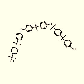 CC(C)(O)c1ccc(C(C)(C)c2ccc(Oc3ccc(S(=O)(=O)c4ccc(OC(C)(C)c5ccc(C(C)(C)c6ccc(O)cc6)cc5)cc4)cc3)cc2)cc1